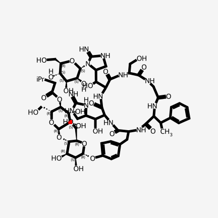 CC(C)CC(=O)O[C@H]1[C@H](O)[C@H](O)[C@@H](O[C@H]2[C@H](O)[C@H](O)[C@@H](Oc3ccc(CC4NC(=O)C(C(C)c5ccccc5)NC(=O)CNC(=O)C(CO)NC(=O)C(C(O)C5CNC(=N)N5[C@H]5O[C@H](CO)[C@@H](O)[C@H](O)[C@@H]5O)NC(=O)C(C(O)C5CNC(=N)N5)NC4=O)cc3)O[C@@H]2CO)O[C@@H]1CO